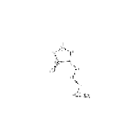 CCOC(=O)CCCC1CNCC1=O